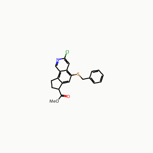 COC(=O)C1CCc2c1cc(SCc1ccccc1)c1cc(Cl)ncc21